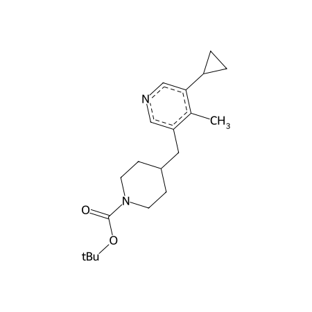 Cc1c(CC2CCN(C(=O)OC(C)(C)C)CC2)cncc1C1CC1